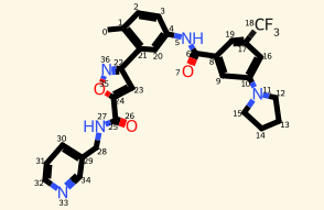 Cc1ccc(NC(=O)c2cc(N3CCCC3)cc(C(F)(F)F)c2)cc1-c1cc(C(=O)NCc2cccnc2)on1